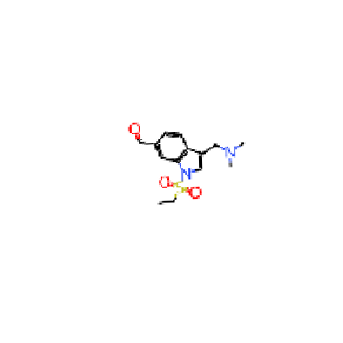 CCS(=O)(=O)n1cc(CN(C)C)c2ccc(C=O)cc21